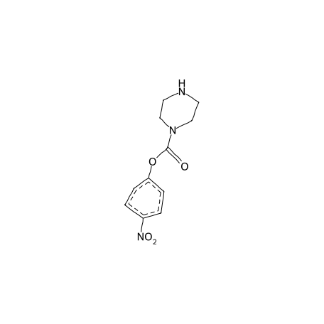 O=C(Oc1ccc([N+](=O)[O-])cc1)N1CCNCC1